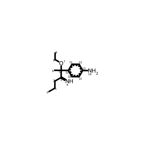 CCCC(=N)C(C)(OCC)c1ccc(N)cc1